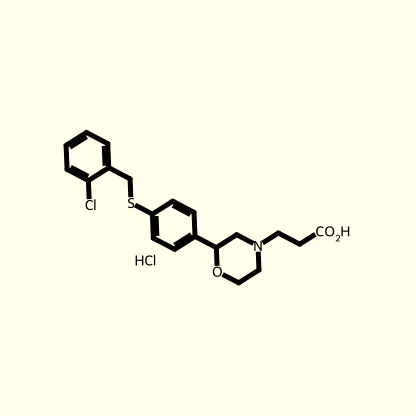 Cl.O=C(O)CCN1CCOC(c2ccc(SCc3ccccc3Cl)cc2)C1